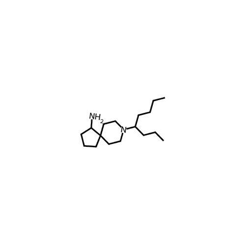 CCCCC(CCC)N1CCC2(CCCC2N)CC1